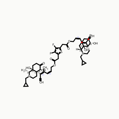 C#CC1=C(/C=C\COC(=O)Cc2sc(CC(=O)OC/C=C\C(C)=C(/C#C)[C@]34CCN(CC5CC5)[C@H](C)[C@]3(O)CCC(=O)[C@@H]4O)c(F)c2F)C[C@H]2N(CC3CC3)CC[C@@]13[C@@H](O)C(=O)CC[C@@]23O